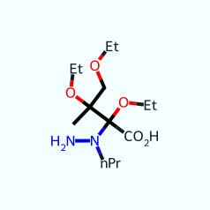 CCCN(N)C(OCC)(C(=O)O)C(C)(COCC)OCC